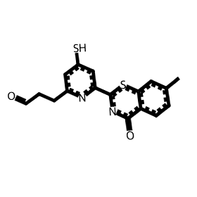 Cc1ccc2c(=O)nc(-c3cc(S)cc(CCC=O)n3)sc2c1